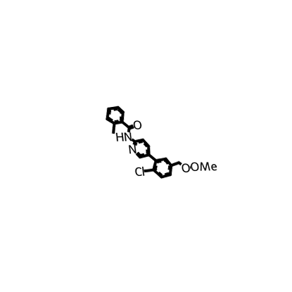 COOCc1ccc(Cl)c(-c2ccc(NC(=O)c3ccccc3C)nc2)c1